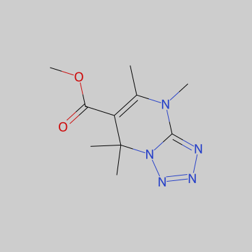 COC(=O)C1=C(C)N(C)c2nnnn2C1(C)C